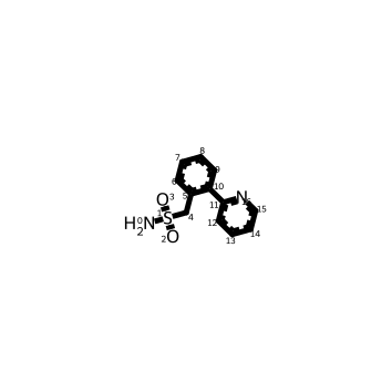 NS(=O)(=O)Cc1ccccc1-c1ccccn1